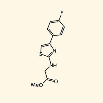 COC(=O)CNc1nc(-c2ccc(F)cc2)cs1